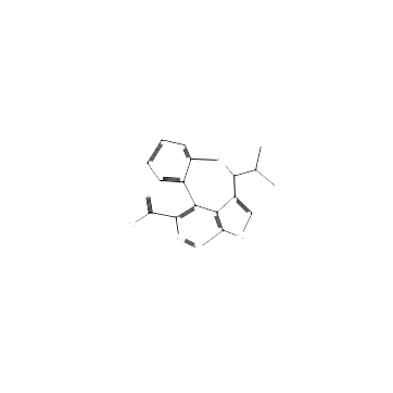 CC(C)C1Nc2ccccc2-c2c(C(N)=O)nnc3[nH]cc1c23